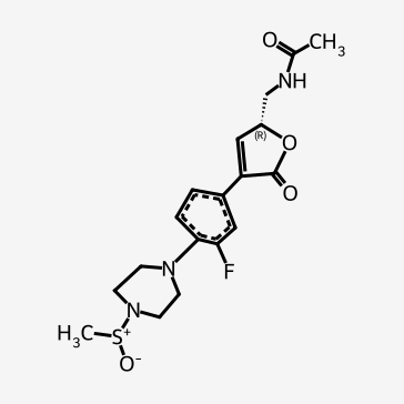 CC(=O)NC[C@H]1C=C(c2ccc(N3CCN([S+](C)[O-])CC3)c(F)c2)C(=O)O1